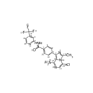 Cc1nc(-c2ccc(C(=O)Nc3cc(C(F)(F)F)ccn3)cc2)c2c(N)ncc(Cl)n12